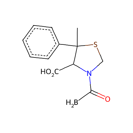 BC(=O)N1CSC(C)(c2ccccc2)C1C(=O)O